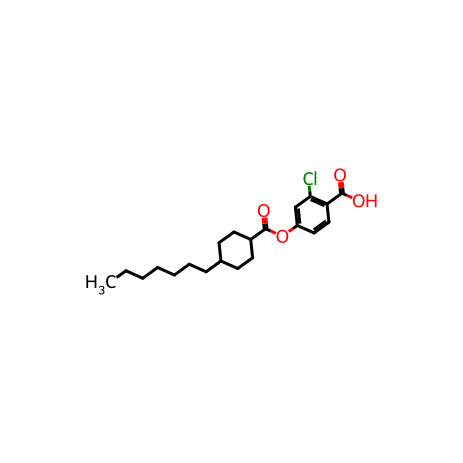 CCCCCCCC1CCC(C(=O)Oc2ccc(C(=O)O)c(Cl)c2)CC1